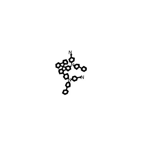 N#Cc1ccc(N(c2ccc(-c3ccccc3)cc2)c2ccc(-c3cccc4c3-c3ccc(N(c5ccc(C#N)cc5)c5ccc(-c6ccccc6)cc5)cc3C43c4ccccc4-c4ccccc43)cc2)cc1